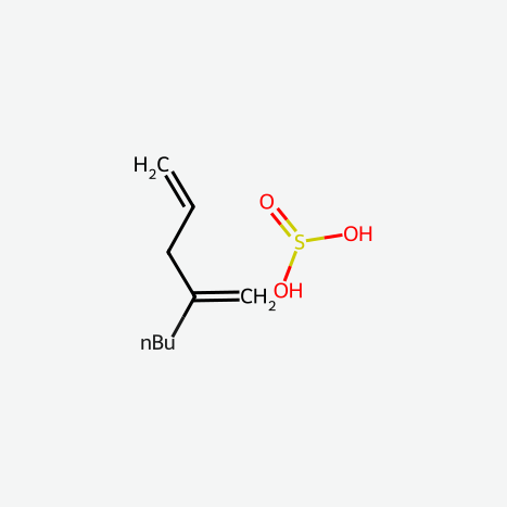 C=CCC(=C)CCCC.O=S(O)O